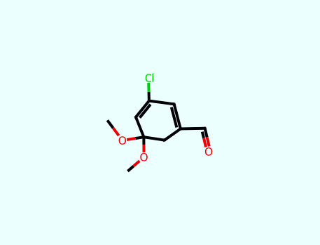 COC1(OC)C=C(Cl)C=C(C=O)C1